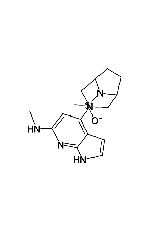 CNc1cc(N2CC3CCC(C2)N3[S+](C)[O-])c2cc[nH]c2n1